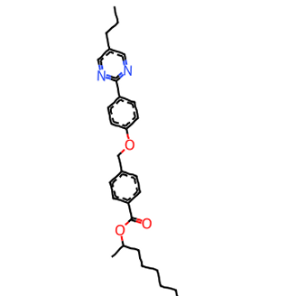 CCCCCCC(C)OC(=O)c1ccc(COc2ccc(-c3ncc(CCC)cn3)cc2)cc1